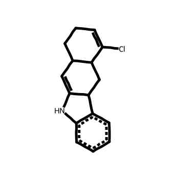 ClC1=CCCC2C=C3Nc4ccccc4C3CC12